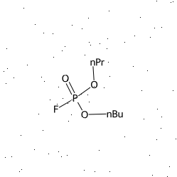 CCCCOP(=O)(F)OCCC